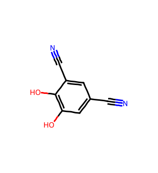 N#Cc1cc(O)c(O)c(C#N)c1